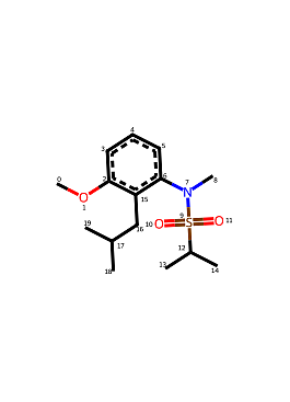 COc1cccc(N(C)S(=O)(=O)C(C)C)c1CC(C)C